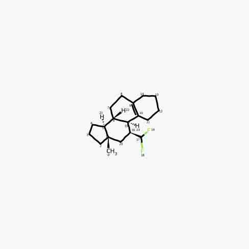 C[C@@]12CCC[C@H]1[C@@H]1CCC3=C(CCCC3)[C@H]1[C@@H](C(F)F)C2